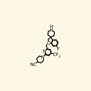 N#CC1CCN(c2cc(C(F)(F)F)cc(COCC3(c4ccc(F)cc4)CCNCC3)n2)CC1